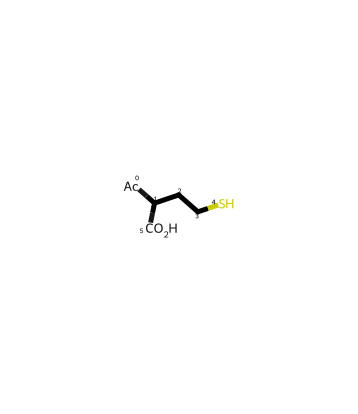 CC(=O)C(CCS)C(=O)O